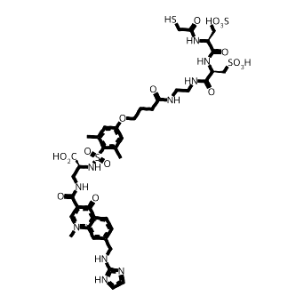 Cc1cc(OCCCC(=O)NCCNC(=O)[C@H](CS(=O)(=O)O)NC(=O)[C@H](CS(=O)(=O)O)NC(=O)CS)cc(C)c1S(=O)(=O)N[C@@H](CNC(=O)c1cn(C)c2cc(CNc3ncc[nH]3)ccc2c1=O)C(=O)O